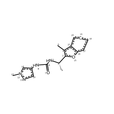 Cc1c([C@H](C)NC(=O)Nc2cnn(C)c2)oc2ccccc12